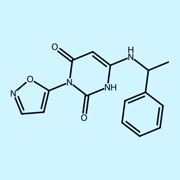 CC(Nc1cc(=O)n(-c2ccno2)c(=O)[nH]1)c1ccccc1